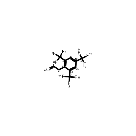 O=CCc1c(C(F)(F)F)cc(C(F)(F)F)cc1C(F)(F)F